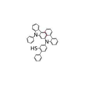 Sc1cc(N(c2ccc3c4ccccc4n(-c4ccccc4)c3c2)c2ccccc2-c2ccccc2)ccc1-c1ccccc1